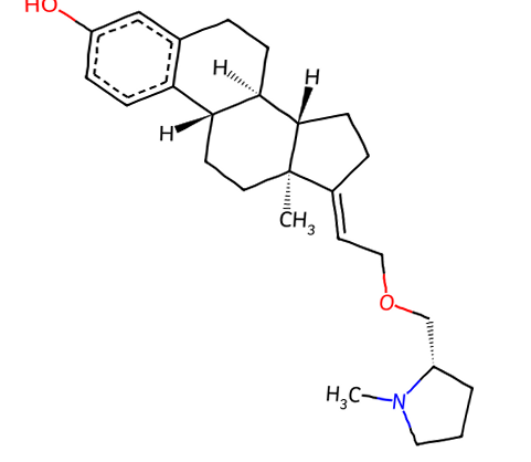 CN1CCC[C@H]1COC/C=C1\CC[C@H]2[C@@H]3CCc4cc(O)ccc4[C@H]3CC[C@]12C